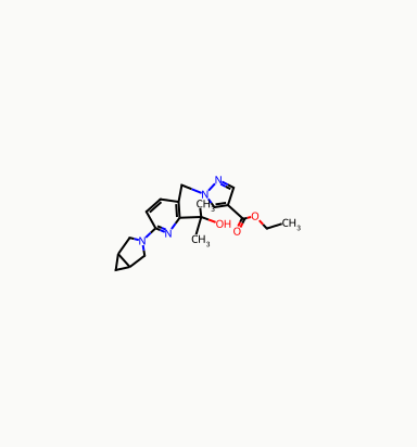 CCOC(=O)c1cnn(Cc2ccc(N3CC4CC4C3)nc2C(C)(C)O)c1